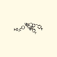 O=C(O)[C@H]1CC[C@H](C(=O)N2CC[C@@]3(S(=O)(=O)c4ccc(F)cc4)c4ccc(Cc5ccc(F)cc5)cc4CC[C@@H]23)CC1